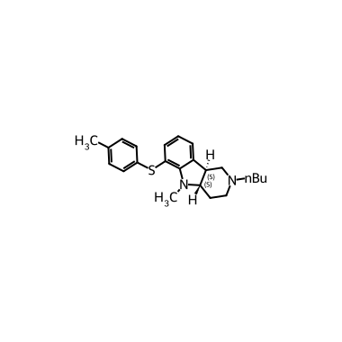 CCCCN1CC[C@H]2[C@H](C1)c1cccc(Sc3ccc(C)cc3)c1N2C